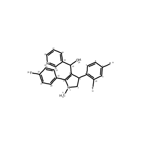 CN1CC(c2ccc(F)cc2F)C(C(O)c2cccnc2)=C1c1ccc(F)cc1